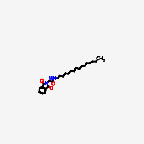 CCCCCCCCCCCCCCCCNC(=O)CN1C(=O)c2ccccc2C1=O